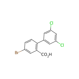 O=C(O)c1cc(Br)ccc1-c1cc(Cl)cc(Cl)c1